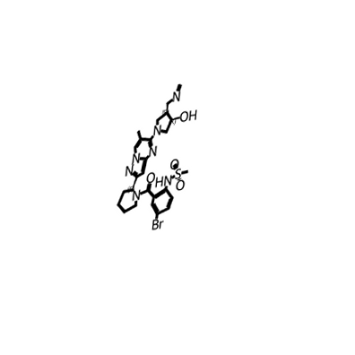 C=NC[C@@H]1CN(c2nc3cc([C@@H]4CCCCN4C(=O)c4cc(Br)ccc4NS(C)(=O)=O)nn3cc2C)C[C@@H]1O